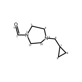 O=CN1CCN(CC2CC2)CC1